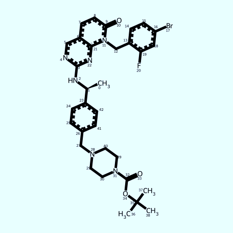 C[C@H](Nc1ncc2ccc(=O)n(Cc3ccc(Br)cc3F)c2n1)c1ccc(CN2CCN(C(=O)OC(C)(C)C)CC2)cc1